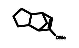 COC1=CC2CC1C1CCCC21